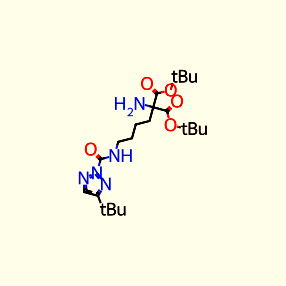 CC(C)(C)OC(=O)C(N)(CCCCNC(=O)n1ncc(C(C)(C)C)n1)C(=O)OC(C)(C)C